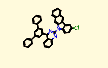 Clc1ccc2c(c1)c1cc3ccccc3cc1n2-c1nc(-c2cc(-c3ccccc3)cc(-c3ccccc3)c2)c2ccccc2n1